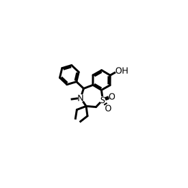 CCC1(CC)CS(=O)(=O)c2cc(O)ccc2C(c2ccccc2)N1C